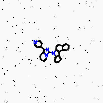 c1ccc2c(c1)ccc1c2c2ccccc2n1-c1nc(-c2ccncc2)c2ccccn12